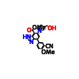 COC(=O)c1c(N2CCC(CO)C2)cc(-c2ccc(OC)c(C#N)c2)c2nc[nH]c12